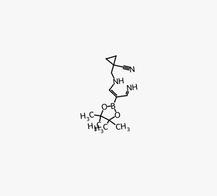 CC1(C)OB(/C(C=N)=C/NCC2(C#N)CC2)OC1(C)C